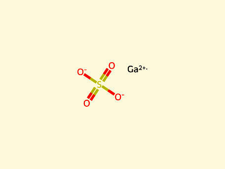 O=S(=O)([O-])[O-].[Ga+2]